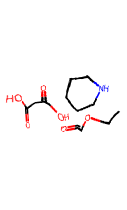 C1CCNCC1.CCOC=O.O=C(O)C(=O)O